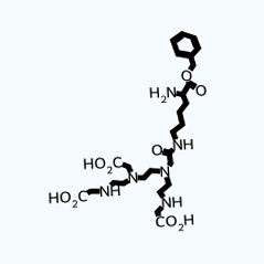 NC(CCCCNC(=O)CN(CCNCC(=O)O)CCN(CCNCC(=O)O)CC(=O)O)C(=O)OCc1ccccc1